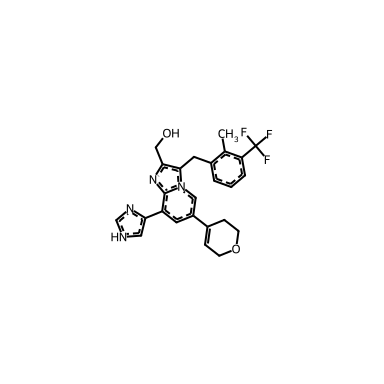 Cc1c(Cc2c(CO)nc3c(-c4c[nH]cn4)cc(C4=CCOCC4)cn23)cccc1C(F)(F)F